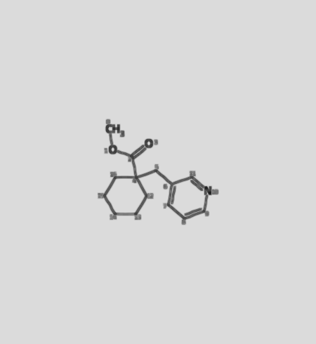 COC(=O)C1(Cc2cccnc2)CCCCC1